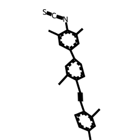 Cc1ccc(C#Cc2ccc(-c3cc(C)c(N=C=S)c(C)c3)cc2C)c(C)c1